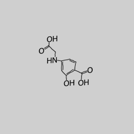 O=C(O)CNc1ccc(C(=O)O)c(O)c1